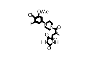 COc1cc(N2CCN(C(=O)[C@@H](C)C[C@@]3(C)NC(=O)NC3=O)CC2)cc(F)c1Cl